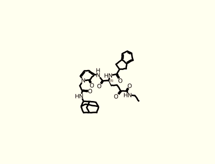 CCNC(=O)C(=O)CC[C@H](NC(=O)C1Cc2ccccc2C1)C(=O)Nc1cccn(CC(=O)NC2C3CC4CC(C3)CC2C4)c1=O